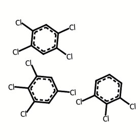 Clc1cc(Cl)c(Cl)c(Cl)c1.Clc1cc(Cl)c(Cl)cc1Cl.Clc1cccc(Cl)c1Cl